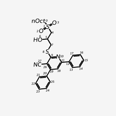 CCCCCCCCS(=O)(=O)CC(O)CSc1nc(-c2ccccc2)cc(-c2ccccc2)c1C#N